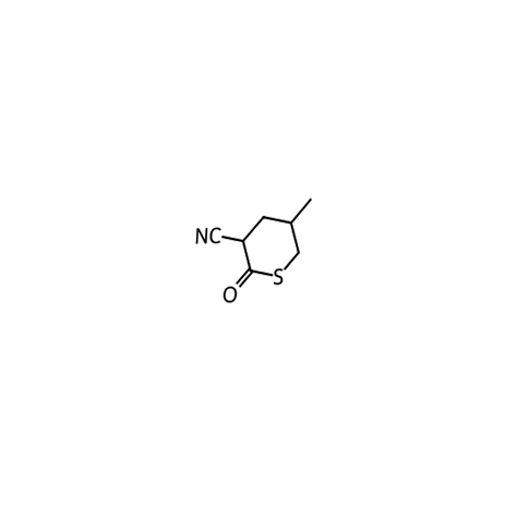 CC1CSC(=O)C(C#N)C1